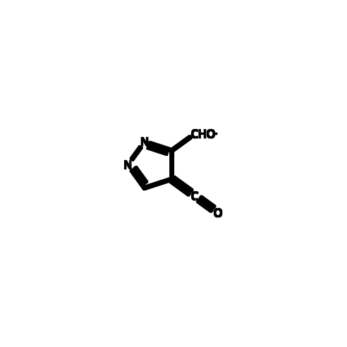 O=[C]C1=NN=CC1=C=O